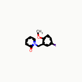 COc1ccc(I)cc1Cn1ccccc1=O